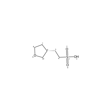 O=S(=O)(O)CC[C@H]1CCOC1